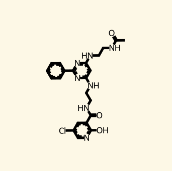 CC(=O)NCCNc1cc(NCCNC(=O)c2cc(Cl)cnc2O)nc(-c2ccccc2)n1